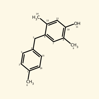 Cc1ccc(Cc2cc(C)c(O)cc2C)cc1